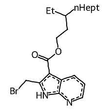 CCCCCCCC(CC)CCOC(=O)c1c(CBr)[nH]c2ncccc12